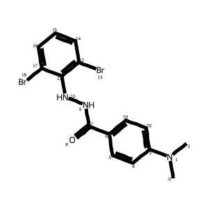 CN(C)c1ccc(C(=O)NNc2c(Br)cccc2Br)cc1